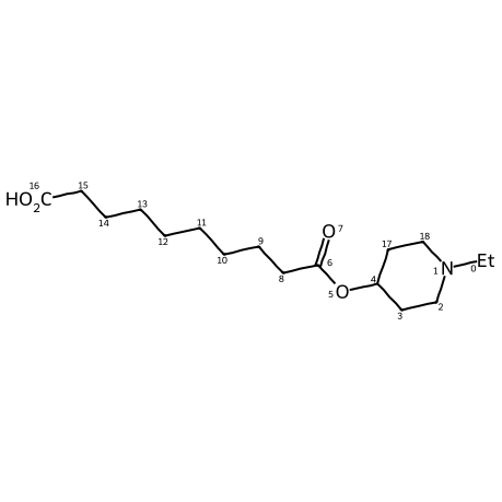 CCN1CCC(OC(=O)CCCCCCCCC(=O)O)CC1